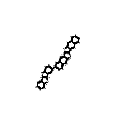 c1ccc2cc3c(cc2c1)sc1c2cc4cc(-c5ccc6sc7c8ccccc8sc7c6c5)ccc4cc2sc31